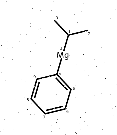 C[CH](C)[Mg][c]1ccccc1